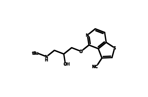 CC(C)(C)NCC(O)COc1nccc2scc(C#N)c12